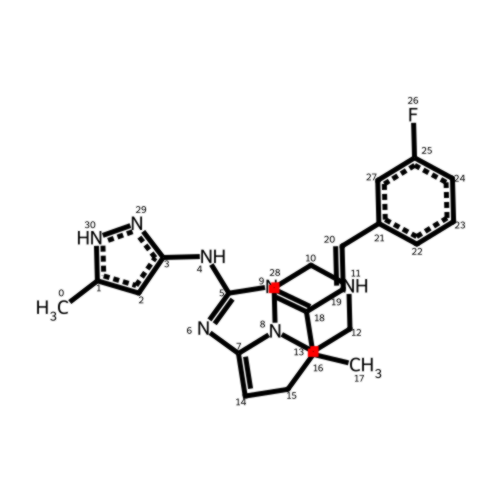 Cc1cc(NC2=N/C(N3CCNCC3)=C/CC(C)C(/C=C/c3cccc(F)c3)=N\2)n[nH]1